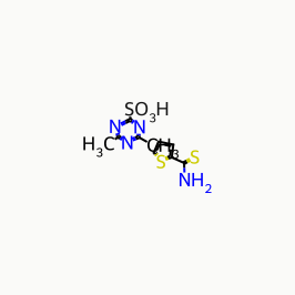 Cc1nc(C)nc(S(=O)(=O)O)n1.NC(=S)c1cccs1